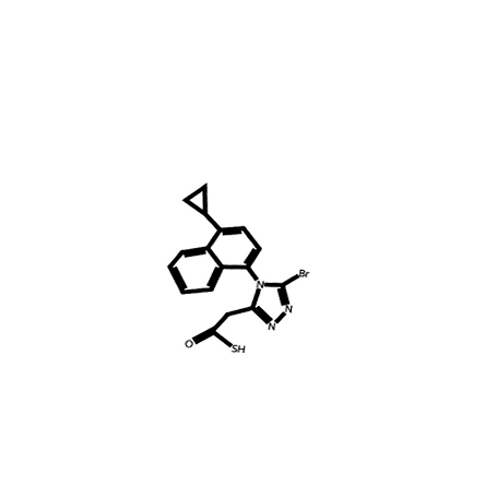 O=C(S)Cc1nnc(Br)n1-c1ccc(C2CC2)c2ccccc12